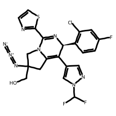 [N-]=[N+]=NC1(CO)CC2=C(c3cnn(C(F)F)c3)[C@H](c3ccc(F)cc3Cl)N=C(c3nccs3)N2C1